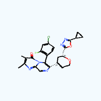 Cc1nc2cnc([C@H]3CCO[C@@H](c4nnc(C5CC5)o4)C3)c(-c3ccc(Cl)cc3F)n2c(=O)c1C